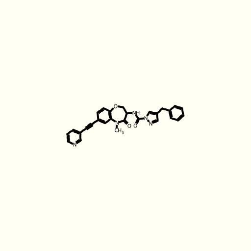 CN1C(=O)C(NC(=O)n2cc(Cc3ccccc3)cn2)COc2ccc(C#Cc3cccnc3)cc21